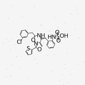 O=C(Cc1cccc(Cl)c1)N[C@@H](Cc1ccccc1NS(=O)(=O)O)c1coc(-c2cccs2)n1